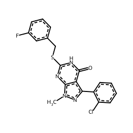 Cn1nc(-c2ccccc2Cl)c2c(=O)[nH]c(SCc3cccc(F)c3)nc21